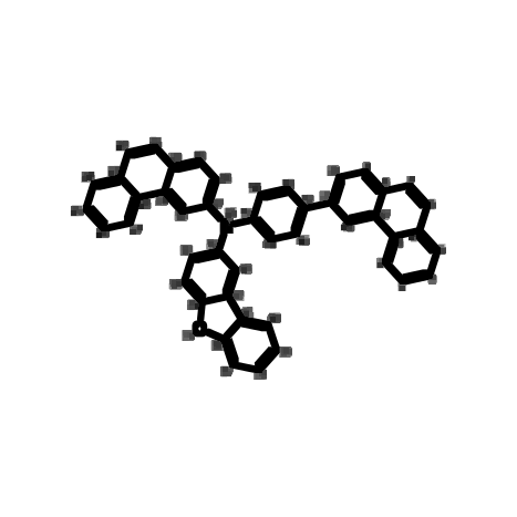 c1ccc2c(c1)ccc1ccc(-c3ccc(N(c4ccc5ccc6ccccc6c5c4)c4ccc5oc6ccccc6c5c4)cc3)cc12